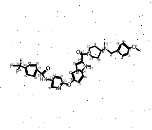 COc1ccc(CNC2CCN(C(=O)c3cc4cc(Oc5ccc(NC(=O)c6ccc(C(F)(F)F)cc6)cn5)ccc4n3C)CC2)cc1